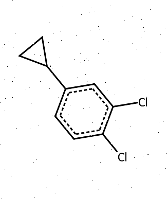 Clc1ccc([C]2CC2)cc1Cl